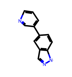 C1=N[N]c2ccc(-c3cccnc3)cc21